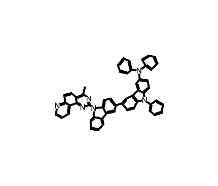 Cc1nc(-n2c3ccccc3c3cc(-c4ccc5c(c4)c4cc(N(c6ccccc6)c6ccccc6)ccc4n5-c4ccccc4)ccc32)nc2c1ccc1ncccc12